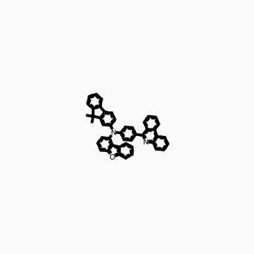 CC1(C)c2ccccc2-c2ccc(N(c3ccc(-c4nc5ccccc5c5ccccc45)cc3)c3cccc4oc5ccccc5c34)cc21